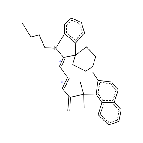 C=C(/C=C/C=C1/N(CCCC)c2ccccc2C12CCCCC2)C(C)(C)c1c(C)ccc2ccccc12